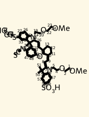 COCCOCCN1C(=CC=C2CCCC(C=CC3=[N+](CCOCCOC)c4ccc(SOOO)cc4C3(C)C)=C2Oc2ccc(N=C=S)cc2)C(C)(C)c2cc(S(=O)(=O)O)ccc21